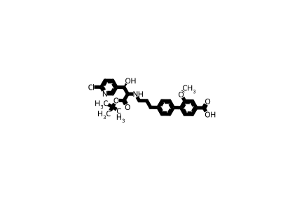 COc1cc(C(=O)O)ccc1-c1ccc(CCCNC(C(=O)OC(C)(C)C)[C@H](O)c2ccc(Cl)nc2)cc1